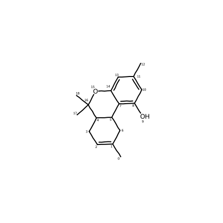 CC1=CCC2C(C1)c1c(O)cc(C)cc1OC2(C)C